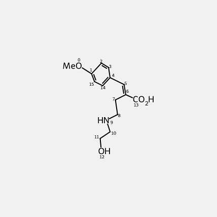 COc1ccc(C=C(CCNCCO)C(=O)O)cc1